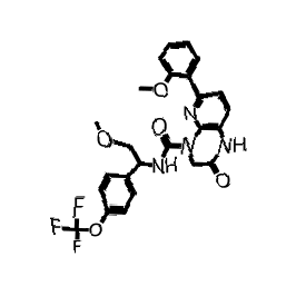 COCC(NC(=O)N1CC(=O)Nc2ccc(-c3ccccc3OC)nc21)c1ccc(OC(F)(F)F)cc1